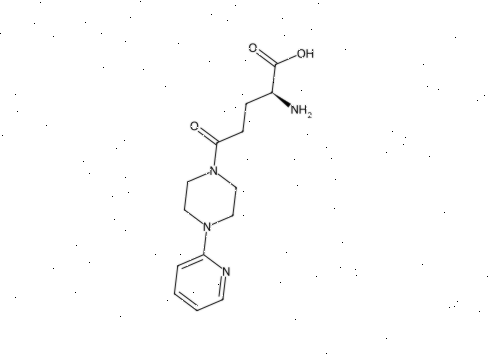 N[C@@H](CCC(=O)N1CCN(c2ccccn2)CC1)C(=O)O